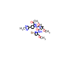 COCc1ccc(Br)nc1NC(=O)[C@@H]1C[C@@]2(COC)C[C@H]2N1C(=O)Cn1nc(C(C)=O)c2cc(-c3cnc(C)nc3)ccc21